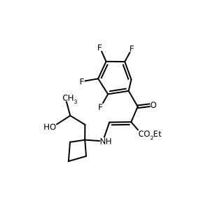 CCOC(=O)C(=CNC1(CC(C)O)CCC1)C(=O)c1cc(F)c(F)c(F)c1F